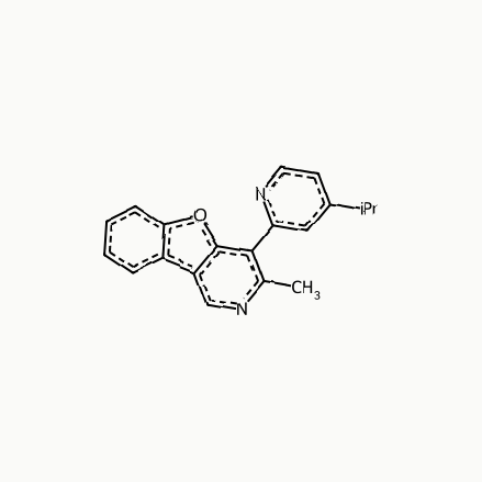 Cc1ncc2c(oc3ccccc32)c1-c1cc(C(C)C)ccn1